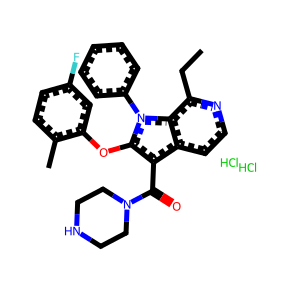 CCc1nccc2c(C(=O)N3CCNCC3)c(Oc3cc(F)ccc3C)n(-c3ccccc3)c12.Cl.Cl